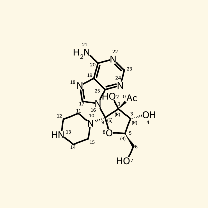 CC(=O)[C@@]1(O)[C@H](O)[C@@H](CO)O[C@@]1(N1CCNCC1)n1cnc2c(N)ncnc21